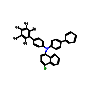 [2H]c1c([2H])c([2H])c(-c2ccc(N(c3ccc(-c4ccccc4)cc3)c3ccc(Br)c4ccccc34)cc2)c([2H])c1[2H]